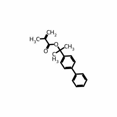 C=C(C)C(=O)OC(C)(C)c1ccc(-c2ccccc2)cc1